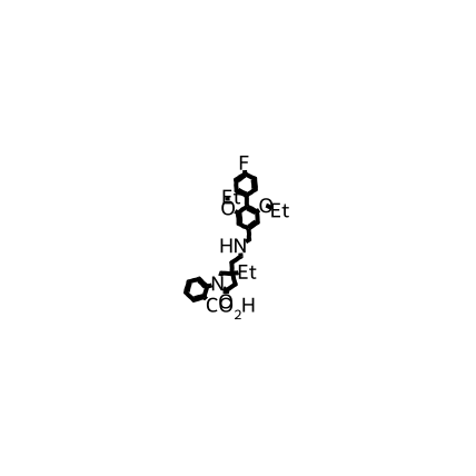 CCOc1cc(CNCCC2(CC)CC(=O)N(c3ccccc3C(=O)O)C2)cc(OCC)c1-c1ccc(F)cc1